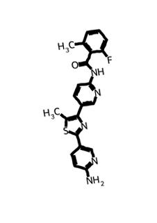 Cc1cccc(F)c1C(=O)Nc1ccc(-c2nc(-c3ccc(N)nc3)sc2C)cn1